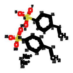 C=Cc1ccc(S(=O)(=O)[O-])cc1.C=Cc1ccc(S(=O)(=O)[O-])cc1.[Na+].[Na+]